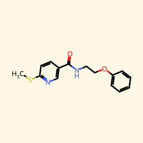 CSc1ccc(C(=O)NCCOc2ccccc2)cn1